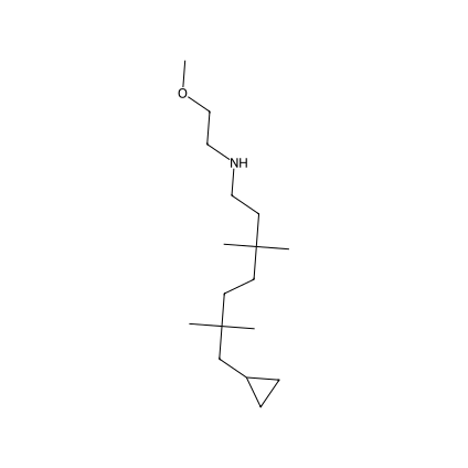 COCCNCCC(C)(C)CCC(C)(C)CC1CC1